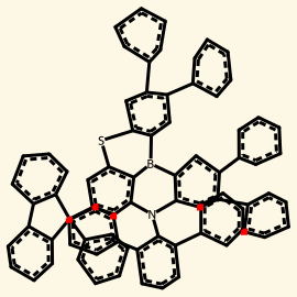 c1ccc(-c2cc3c(cc2-c2ccccc2)B2c4cc(-c5ccccc5)c(-c5ccccc5)cc4N(c4c(-c5ccccc5)cccc4-c4ccccc4)c4cc(C5(c6ccccc6)c6ccccc6-c6ccccc65)cc(c42)S3)cc1